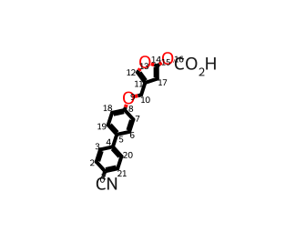 N#Cc1ccc(-c2ccc(OCc3coc(OC(=O)O)c3)cc2)cc1